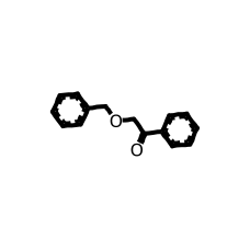 O=C(COCc1ccccc1)c1ccccc1